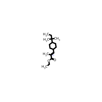 CCOC(=O)/C(C)=C/C1CCC(C(C)(C)CC)CC1